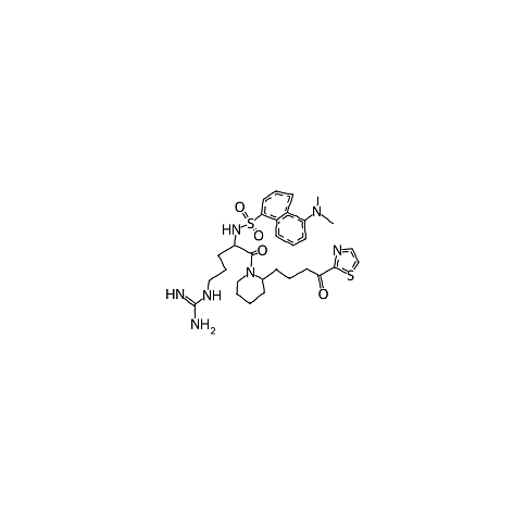 CN(C)c1cccc2c(S(=O)(=O)NC(CCCNC(=N)N)C(=O)N3CCCCC3CCCC(=O)c3nccs3)cccc12